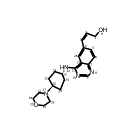 OC/C=C\c1ccc2ncnc(N[C@H]3CC[C@H](N4CCOCC4)CC3)c2c1